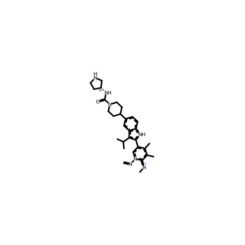 C=Nn1cc(-c2[nH]c3ccc(C4CCN(C(=O)N[C@@H]5CCNC5)CC4)cc3c2C(C)C)c(C)c(C)/c1=N/C